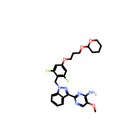 COc1cnc(-c2nn(Cc3c(F)cc(OCCCOC4CCCCO4)cc3F)c3ccccc23)nc1N